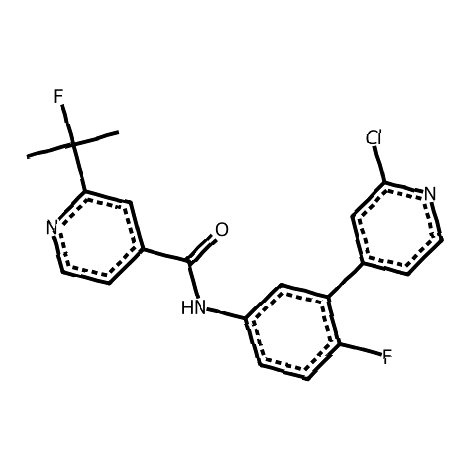 CC(C)(F)c1cc(C(=O)Nc2ccc(F)c(-c3ccnc(Cl)c3)c2)ccn1